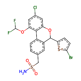 NS(=O)(=O)Cc1ccc2c(c1)C(c1ccc(Br)s1)Oc1cc(Cl)cc(OC(F)F)c1-2